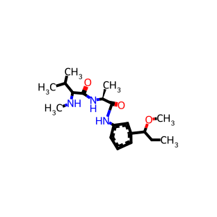 CCC(OC)c1cccc(NC(=O)[C@H](C)NC(=O)C(NC)C(C)C)c1